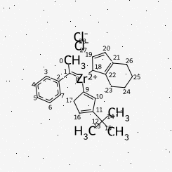 C/[C](c1ccccc1)=[Zr+2](/[C]1=CC(C(C)(C)C)=CC1)[CH]1C=CC2=C1CCCC2.[Cl-].[Cl-]